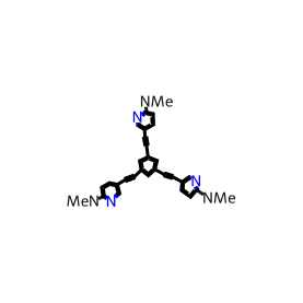 CNc1ccc(C#Cc2cc(C#Cc3ccc(NC)nc3)cc(C#Cc3ccc(NC)nc3)c2)cn1